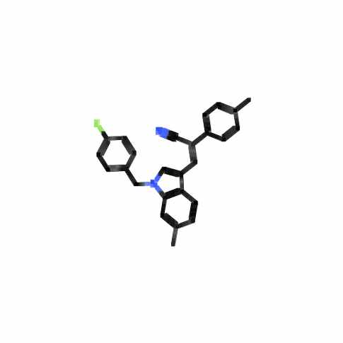 Cc1ccc(/C(C#N)=C/c2cn(Cc3ccc(F)cc3)c3cc(C)ccc23)cc1